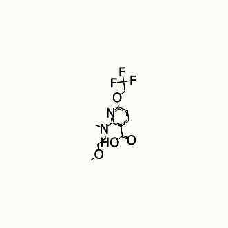 COCCN(C)c1nc(OCC(F)(F)F)ccc1C(=O)O